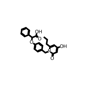 CCCc1cc(O)cc(=O)n1Cc1ccc(OC(C(=O)O)c2ccccc2)cc1